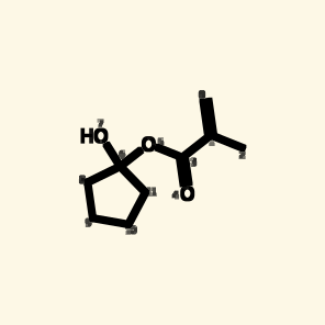 C=C(C)C(=O)OC1(O)CCCC1